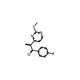 C=C(C(=O)c1ccc(F)cc1)c1ccnc(SC)n1